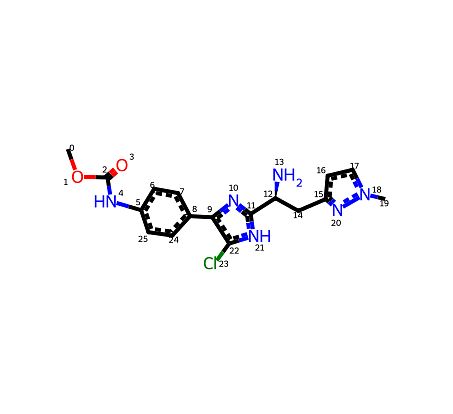 COC(=O)Nc1ccc(-c2nc([C@@H](N)Cc3ccn(C)n3)[nH]c2Cl)cc1